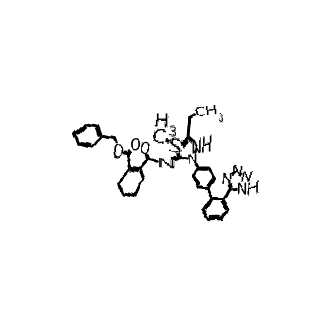 CCC1=S(C)C(=NC(=O)C2=C(C(=O)OCc3ccccc3)CCCC2)N(c2ccc(-c3ccccc3-c3nnn[nH]3)cc2)N1